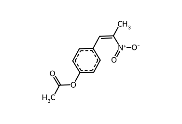 CC(=O)Oc1ccc(C=C(C)[N+](=O)[O-])cc1